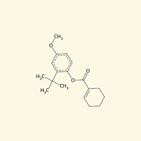 COc1ccc(OC(=O)C2=CCCCC2)c(C(C)(C)C)c1